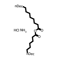 CCCCCCCCCCCCCCCCCC(=O)OC(=O)CCCCCCCCCCCCCCC.Cl.N